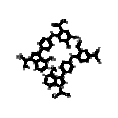 CC(=O)c1cc(C)c(Cl)cc1Oc1ccc(-c2cn(C(C)C)c3ncnc(N)c23)cc1.CC(C)n1cc(-c2ccc(Oc3ccc([N+](=O)[O-])cc3C=O)cc2)c2c(N)ncnc21